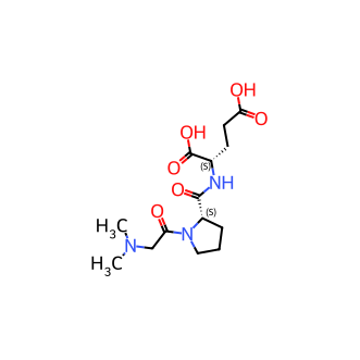 CN(C)CC(=O)N1CCC[C@H]1C(=O)N[C@@H](CCC(=O)O)C(=O)O